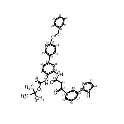 CC(C)(C)OC(=O)Nc1ccc(-c2ccc(OCc3ccccc3)nc2)cc1NC(=O)CC(=O)c1cccc(-c2ncc[nH]2)c1